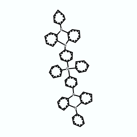 c1ccc(N2c3ccccc3N(c3ccc([Si](c4ccccc4)(c4ccccc4)c4ccc(N5c6ccccc6N(c6ccccc6)c6ccccc65)cc4)cc3)c3ccccc32)cc1